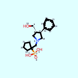 O=P(O)(O)C1(CN2C[C@H](CO)[C@@H](c3ccccc3)C2)CCCC1